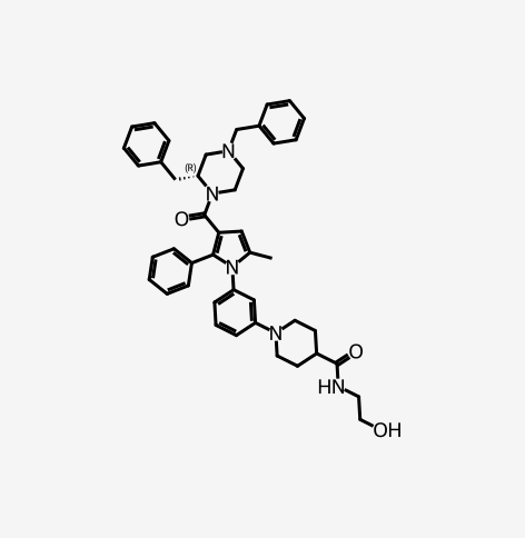 Cc1cc(C(=O)N2CCN(Cc3ccccc3)C[C@H]2Cc2ccccc2)c(-c2ccccc2)n1-c1cccc(N2CCC(C(=O)NCCO)CC2)c1